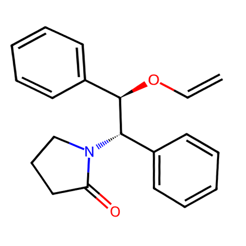 C=CO[C@H](c1ccccc1)[C@H](c1ccccc1)N1CCCC1=O